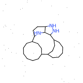 C1CCCC2CCC(CC1)C1CCCCCC(CC1)C1NNC3CCC2NC31